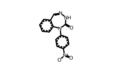 O=C1NN=Cc2ccccc2N1c1ccc([N+](=O)[O-])cc1